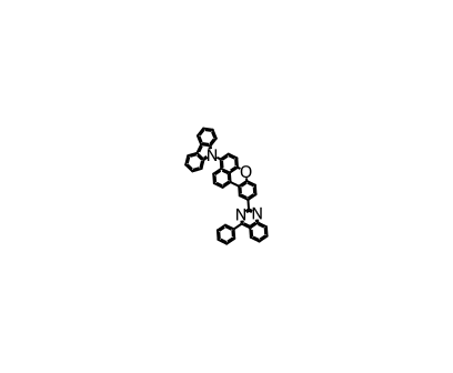 c1ccc(-c2nc(-c3ccc4c(c3)-c3cccc5c(-n6c7ccccc7c7ccccc76)ccc(c35)O4)nc3ccccc23)cc1